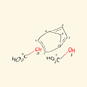 C1=CC2=CC=C1C2.O=C(O)O.O=C(O)O